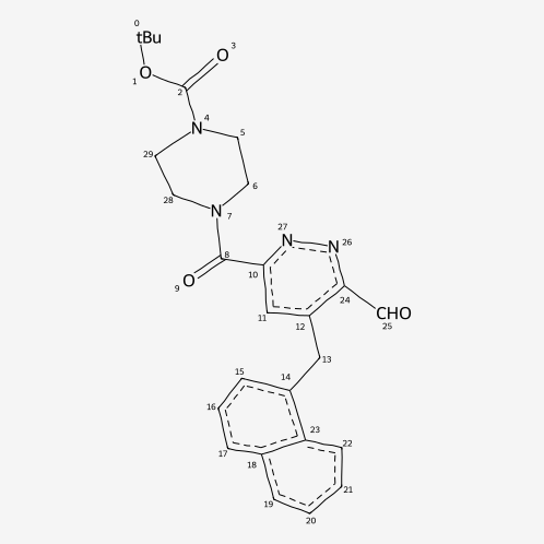 CC(C)(C)OC(=O)N1CCN(C(=O)c2cc(Cc3cccc4ccccc34)c(C=O)nn2)CC1